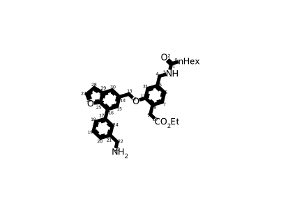 CCCCCCC(=O)NCc1ccc(CC(=O)OCC)c(OCc2cc(-c3cccc(CN)c3)c3occc3c2)c1